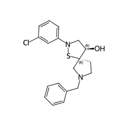 O[C@@H]1CN(c2cccc(Cl)c2)S[C@@]12CCN(Cc1ccccc1)C2